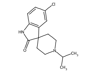 CC(C)N1CCC2(CC1)C(=O)Nc1ccc(Cl)cc12